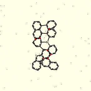 c1ccc(-c2cccc3cccc(-c4ccccc4N(c4cccc(-c5cccc6ccccc56)c4)c4ccccc4-c4cccc5c4sc4ccccc45)c23)cc1